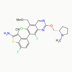 COCc1c(Cl)c(-c2ccc(F)c3sc(N)c(C#N)c23)c(F)c2nc(OC[C@@H]3CCCN3C)ncc12